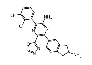 Nc1nc(-c2ccc3c(c2)CC(N)C3)c(-c2nnco2)nc1-c1cccc(Cl)c1Cl